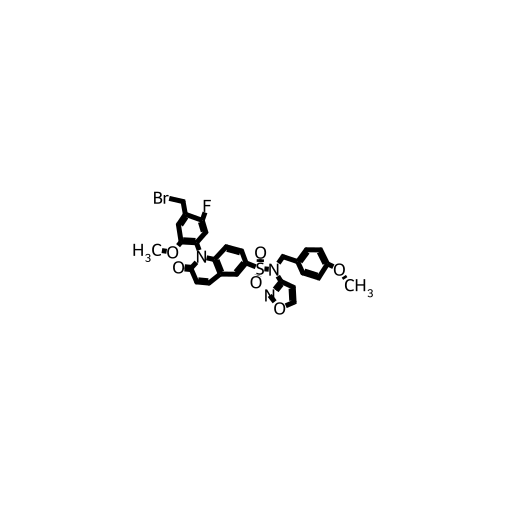 COc1ccc(CN(c2ccon2)S(=O)(=O)c2ccc3c(ccc(=O)n3-c3cc(F)c(CBr)cc3OC)c2)cc1